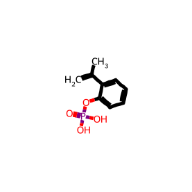 C=C(C)c1ccccc1OP(=O)(O)O